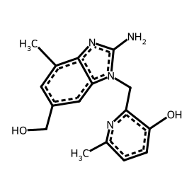 Cc1ccc(O)c(Cn2c(N)nc3c(C)cc(CO)cc32)n1